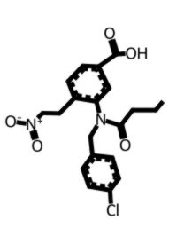 CCCC(=O)N(Cc1ccc(Cl)cc1)c1cc(C(=O)O)ccc1CC[N+](=O)[O-]